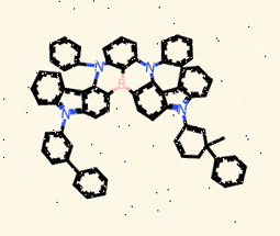 CC1(c2ccccc2)C=C(n2c3ccccc3c3c4c(ccc32)B2c3ccc5c(c3N(c3ccccc3)c3cccc(c32)N4c2ccccc2)c2ccccc2n5-c2cccc(-c3ccccc3)c2)C=CC1